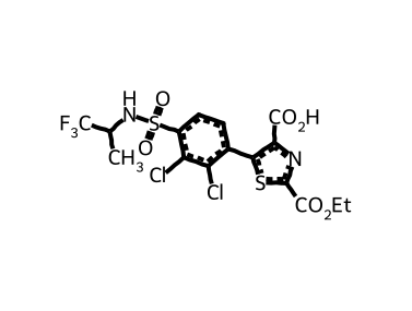 CCOC(=O)c1nc(C(=O)O)c(-c2ccc(S(=O)(=O)NC(C)C(F)(F)F)c(Cl)c2Cl)s1